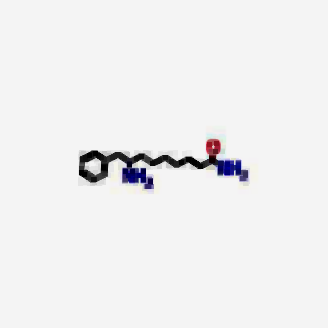 NC(=O)CCCCCCC(N)Cc1ccccc1